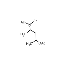 CCN(C(C)=O)C(C)CC(C)OC(C)=O